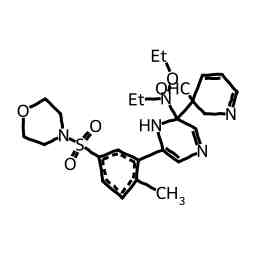 CCON(CC)C1(C2(C=O)C=CC=NC2)C=NC=C(c2cc(S(=O)(=O)N3CCOCC3)ccc2C)N1